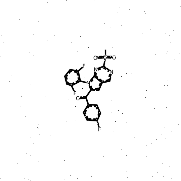 CS(=O)(=O)c1ncc2cc(C(=O)c3ccc(F)cc3)n(-c3c(F)cccc3F)c2n1